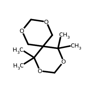 CC1(C)OCOC(C)(C)C12COCOC2